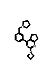 c1cc(CN2CCCC2)cc(-c2nc(N3CCC3)nc3c2CCC3)c1